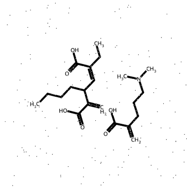 C=C(C(=O)O)C(C=C(CC)C(=O)O)CCCC.C=C(CCCN(C)C)C(=O)O